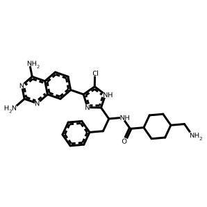 NCC1CCC(C(=O)NC(Cc2ccccc2)c2nc(-c3ccc4c(N)nc(N)nc4c3)c(Cl)[nH]2)CC1